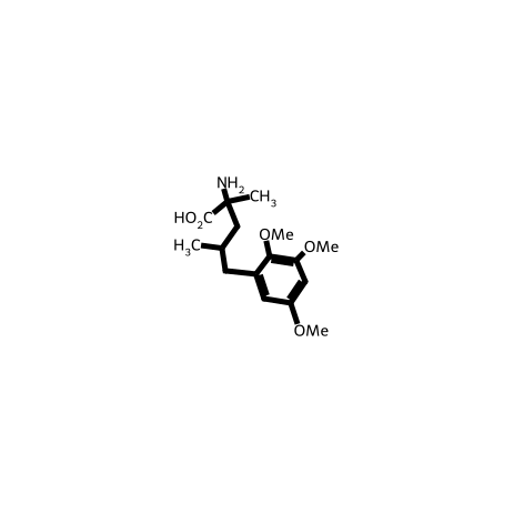 COc1cc(CC(C)CC(C)(N)C(=O)O)c(OC)c(OC)c1